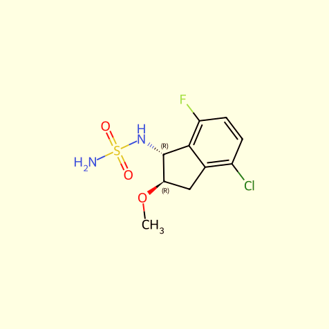 CO[C@@H]1Cc2c(Cl)ccc(F)c2[C@H]1NS(N)(=O)=O